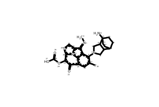 CN=c1c2c(N3CC4C5CCC(N)(CC5)C4C3)c(F)cc3c(=O)c(OC(=O)O)c4scc1n4c32